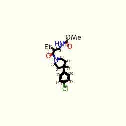 CCC(CNC(=O)OC)C(=O)N1CCC(C)(c2ccc(Cl)cc2)CC1